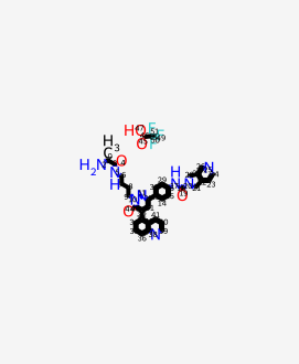 CC(N)C(=O)NCCCCn1nc(-c2ccc(NC(=O)N3Cc4ccncc4C3)cc2)cc(-c2cccc3ncccc23)c1=O.O=C(O)C(F)(F)F